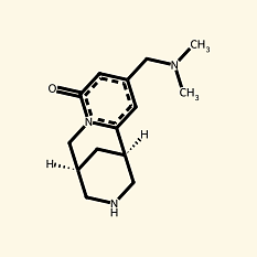 CN(C)Cc1cc2n(c(=O)c1)C[C@@H]1CNC[C@H]2C1